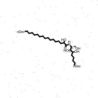 CCCCCCCCCCCCCCCCCCCCCCCCC(O)C(=O)N[C@H](CO)[C@H](O)C(O)CCCCCCCCCCCCCC